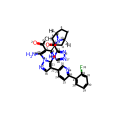 CC(=O)c1c([C@H]2C[C@H]3CC[C@@H](C2)N3C(=O)c2nnc[nH]2)nc2c(-c3ccc(-c4ccccc4F)nc3)cnn2c1N